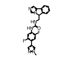 Cn1cc(-c2cc(F)c(NC(=O)NCC3c4ccccc4-c4cncn43)cc2F)cn1